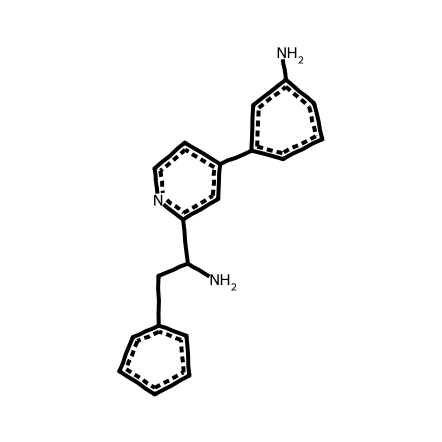 Nc1cccc(-c2ccnc(C(N)Cc3ccccc3)c2)c1